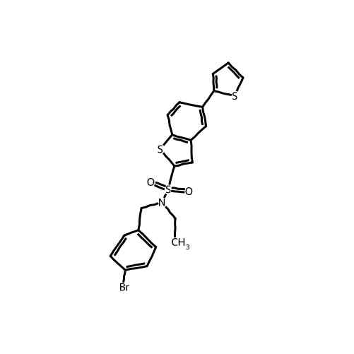 CCN(Cc1ccc(Br)cc1)S(=O)(=O)c1cc2cc(-c3cccs3)ccc2s1